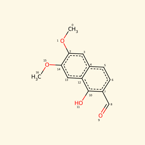 COc1cc2ccc(C=O)c(O)c2cc1OC